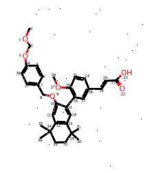 COCOc1ccc(COc2cc3c(cc2-c2cc(/C=C/C(=O)O)ccc2OC)C(C)(C)CCC3(C)C)cc1